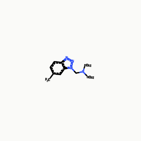 CCCCCCCCN(CCCCCCCC)Cn1nnc2ccc(C(F)(F)F)cc21